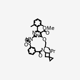 COC(=O)c1c2nc(nc1-c1c(C)cccc1C)NS(=O)(=O)c1cccc(c1)C(=O)N(C1CC3(CC3)C1)[C@H](CC(C)C)CO2